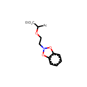 CCOC(=O)C(OCCN1Oc2ccccc2O1)C(C)=O